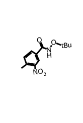 Cc1ccc(C(=O)NOC(C)(C)C)cc1[N+](=O)[O-]